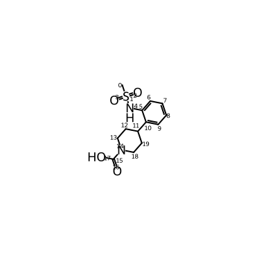 CS(=O)(=O)Nc1ccccc1C1CCN(C(=O)O)CC1